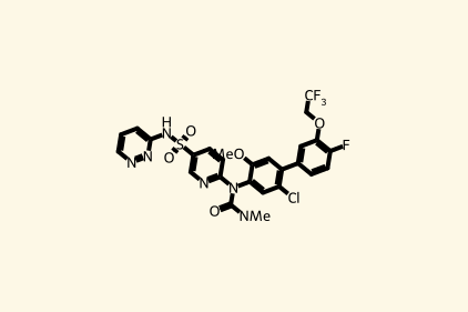 CNC(=O)N(c1ccc(S(=O)(=O)Nc2cccnn2)cn1)c1cc(Cl)c(-c2ccc(F)c(OCC(F)(F)F)c2)cc1OC